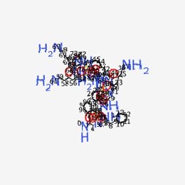 CNC(=O)CN(C[C@H](Cc1ccccc1)NC(=O)[C@H](Cc1ccccc1)NC(=O)CN(C[C@H](CCCCN)NC(=O)[C@H](Cc1ccccc1)NC(=O)CN(C[C@H](CCCCN)NC(=O)[C@H](CCCCN)NC(C)C)S(=O)(=O)Cc1ccccc1)S(=O)(=O)CCN)S(=O)(=O)Cc1ccccc1